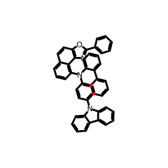 c1ccc(-c2nc3c(ccc4cccc(N(c5ccc(-n6c7ccccc7c7ccccc76)cc5)c5ccccc5-c5ccccc5)c43)o2)cc1